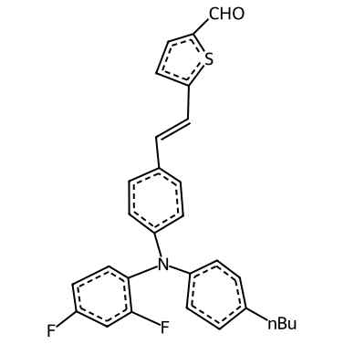 CCCCc1ccc(N(c2ccc(C=Cc3ccc(C=O)s3)cc2)c2ccc(F)cc2F)cc1